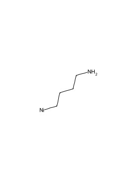 NCCC[CH2][Ni]